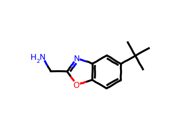 CC(C)(C)c1ccc2oc(CN)nc2c1